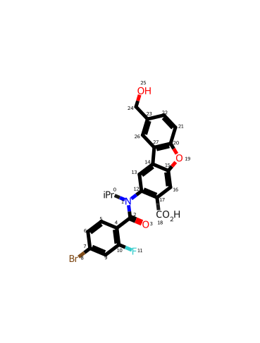 CC(C)N(C(=O)c1ccc(Br)cc1F)c1cc2c(cc1C(=O)O)oc1ccc(CO)cc12